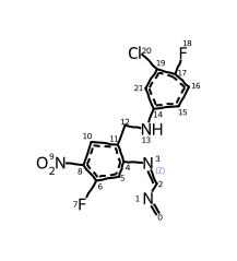 C=N/C=N\c1cc(F)c([N+](=O)[O-])cc1CNc1ccc(F)c(Cl)c1